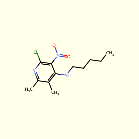 CCCCCNc1c(C)c(C)nc(Cl)c1[N+](=O)[O-]